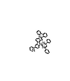 c1ccc(-c2cc(-c3ccccc3)nc(-n3c4ccc(-c5ccccn5)cc4c4ccc5c(cc6c7ccccc7c7ccccc7n65)c43)n2)cc1